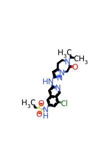 CCS(=O)(=O)Nc1cc(Cl)c2cnc(Nc3cc4n(n3)CC(=O)N(C(C)C)CC4)cc2c1